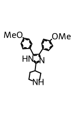 COc1ccc(-c2nc(C3CCNCC3)[nH]c2-c2ccc(OC)cc2)cc1